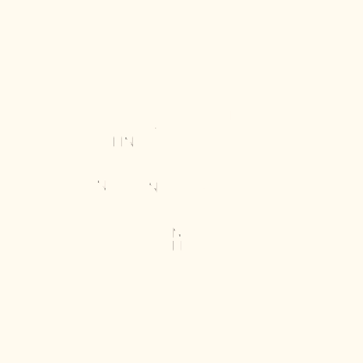 Cc1cnc(NC(C)(C)C)nc1Nc1cccc(C(F)(F)F)c1C